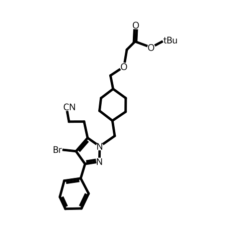 CC(C)(C)OC(=O)COCC1CCC(Cn2nc(-c3ccccc3)c(Br)c2CCC#N)CC1